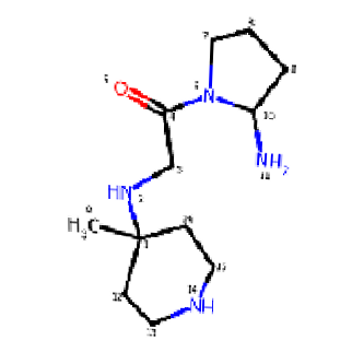 CC1(NCC(=O)N2CCCC2N)CCNCC1